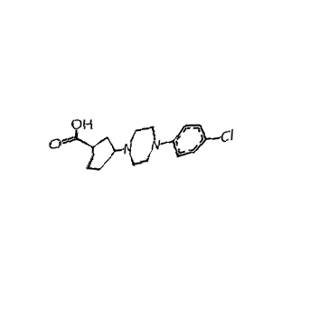 O=C(O)C1CCC(N2CCN(c3ccc(Cl)cc3)CC2)C1